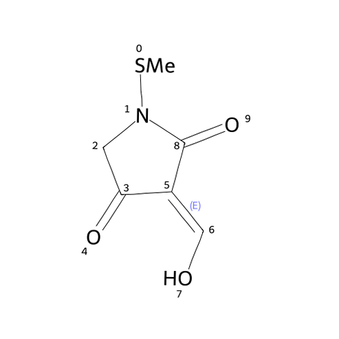 CSN1CC(=O)/C(=C\O)C1=O